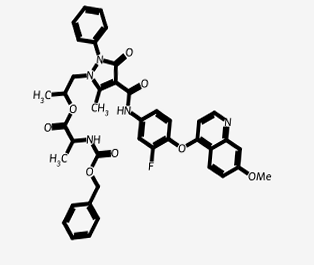 COc1ccc2c(Oc3ccc(NC(=O)c4c(C)n(CC(C)OC(=O)C(C)NC(=O)OCc5ccccc5)n(-c5ccccc5)c4=O)cc3F)ccnc2c1